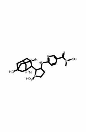 CN(C(=O)c1ccc(NC2CCN(C(=O)O)C2C2[C@@H]3CC4C[C@H]2CC(O)(C4)C3)nc1)C(C)(C)C